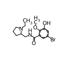 CCN1CCCC1CNC(=O)c1cc(Br)cc(O)c1OC